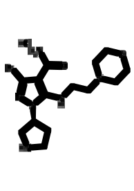 Cl.NC(=O)c1c(Br)nn([C@H]2CCNC2)c1NCCN1CCOCC1